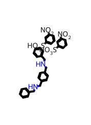 O=[N+]([O-])c1cccc(S(=O)(=O)O)c1.O=[N+]([O-])c1cccc(S(=O)(=O)O)c1.c1ccc(CNCc2ccc(CNCc3ccccc3)cc2)cc1